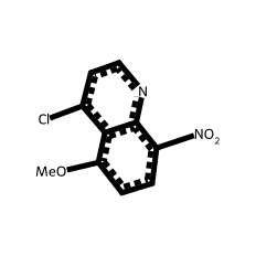 COc1ccc([N+](=O)[O-])c2nccc(Cl)c12